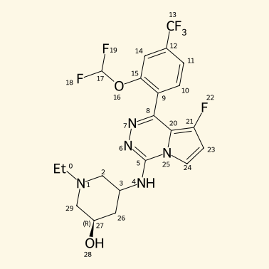 CCN1CC(Nc2nnc(-c3ccc(C(F)(F)F)cc3OC(F)F)c3c(F)ccn23)C[C@@H](O)C1